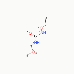 CCONC(=O)NCOC